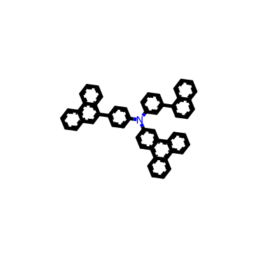 c1cc(-c2cccc3ccccc23)cc(N(c2ccc(-c3cc4ccccc4c4ccccc34)cc2)c2ccc3c4ccccc4c4ccccc4c3c2)c1